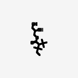 CCC(C)(C)C(C(=O)OCC(O)CO)C(C)(C)C